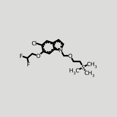 CS(C)(C)CCOCn1ccc2cc(Cl)c(OCC(F)F)cc21